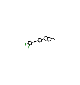 CCC1CCC2CC(c3ccc(C#Cc4ccc(F)c(F)c4)cc3)CCC2C1